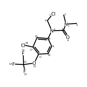 CN(C)C(=O)N(CCl)c1ccc(OC(F)(F)F)c(Cl)c1